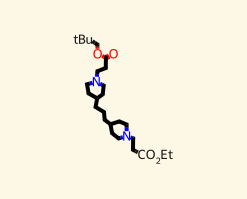 CCOC(=O)CCN1CCC(CCCC2CCN(CCC(=O)OCC(C)(C)C)CC2)CC1